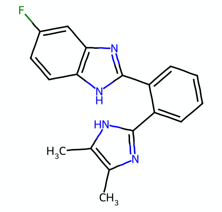 Cc1nc(-c2ccccc2-c2nc3cc(F)ccc3[nH]2)[nH]c1C